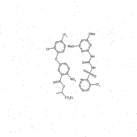 CCOC(=O)C(C)OC(=O)c1cc(Oc2ccc(C(F)(F)F)cc2Cl)ccc1[N+](=O)[O-].COc1cc(OC)nc(NC(=O)NS(=O)(=O)c2ncccc2C(F)(F)F)n1